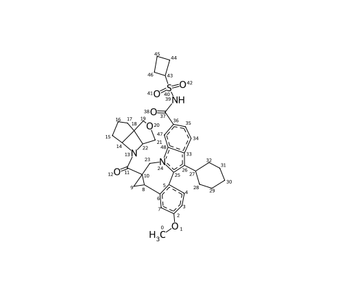 COc1ccc2c(c1)C1CC1(C(=O)N1C3CCCC34COCC14)Cn1c-2c(C2CCCCC2)c2ccc(C(=O)NS(=O)(=O)C3CCC3)cc21